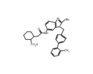 CCCCc1nc2ccc(NC(=O)CC3CCCCC3C(=O)O)cc2n1Cc1ccc(-c2ccccc2C)cc1